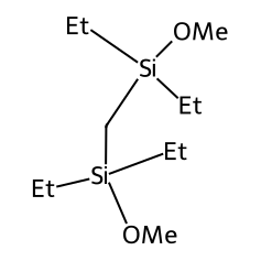 CC[Si](CC)(C[Si](CC)(CC)OC)OC